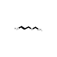 C/C=C/COCC